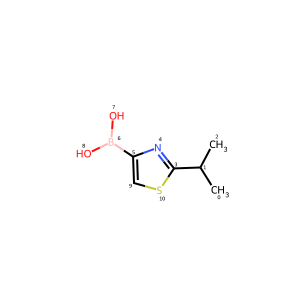 CC(C)c1nc(B(O)O)cs1